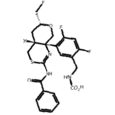 O=C(O)NCc1cc([C@]23CO[C@@H](CF)C[C@H]2CSC(NC(=O)c2ccccc2)=N3)c(F)cc1F